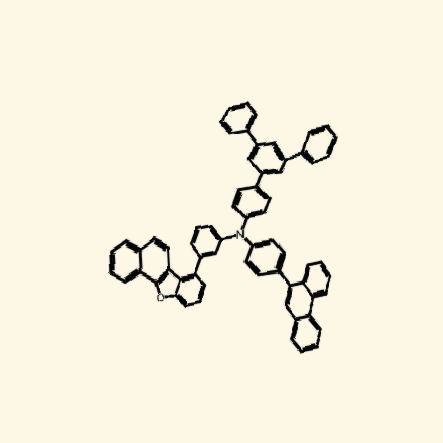 c1ccc(-c2cc(-c3ccccc3)cc(-c3ccc(N(c4ccc(-c5cc6ccccc6c6ccccc56)cc4)c4cccc(-c5cccc6oc7c8ccccc8ccc7c56)c4)cc3)c2)cc1